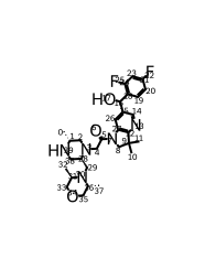 C[C@@H]1CN(CC(=O)N2CC(C)(C)c3ncc(C(O)c4ccc(F)cc4F)cc32)[C@@H](CN2[C@H](C)COC[C@H]2C)CN1